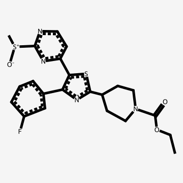 CCOC(=O)N1CCC(c2nc(-c3cccc(F)c3)c(-c3ccnc([S+](C)[O-])n3)s2)CC1